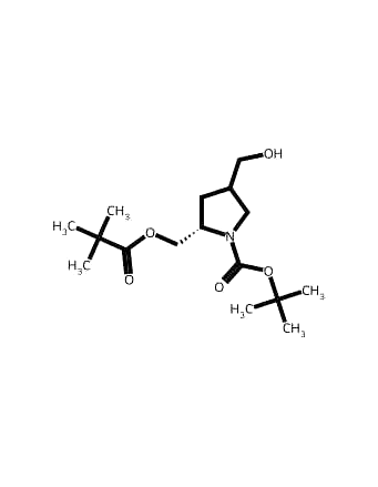 CC(C)(C)OC(=O)N1CC(CO)C[C@H]1COC(=O)C(C)(C)C